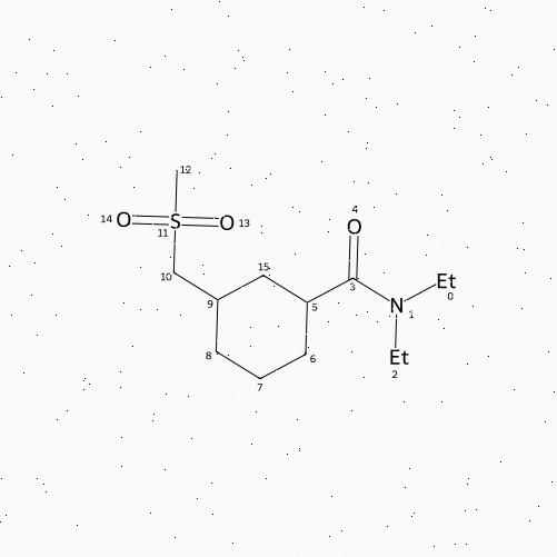 CCN(CC)C(=O)C1CCCC(CS(C)(=O)=O)C1